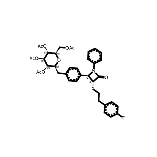 CC(=O)OC[C@H]1O[C@@H](Cc2ccc([C@@H]3[C@@H](CCCc4ccc(F)cc4)C(=O)N3c3ccccc3)cc2)[C@H](OC(C)=O)[C@@H](OC(C)=O)[C@@H]1OC(C)=O